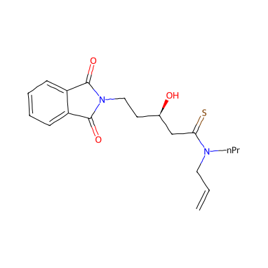 C=CCN(CCC)C(=S)C[C@H](O)CCN1C(=O)c2ccccc2C1=O